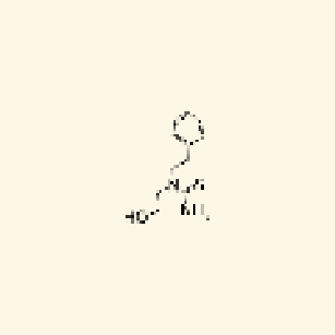 NC(=S)N(CCO)CCc1ccccc1